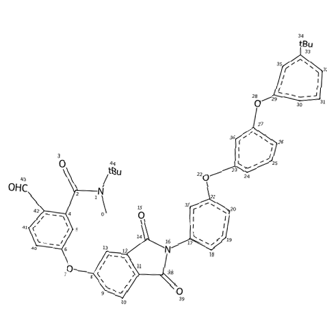 CN(C(=O)c1cc(Oc2ccc3c(c2)C(=O)N(c2cccc(Oc4cccc(Oc5cccc(C(C)(C)C)c5)c4)c2)C3=O)ccc1C=O)C(C)(C)C